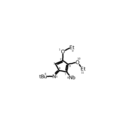 CCOC1=CC(=NC(C)(C)C)[C]([Nb])=C1OCC